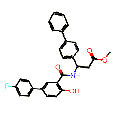 COC(=O)CC(NC(=O)c1cc(-c2ccc(F)cc2)ccc1O)c1ccc(-c2ccccc2)cc1